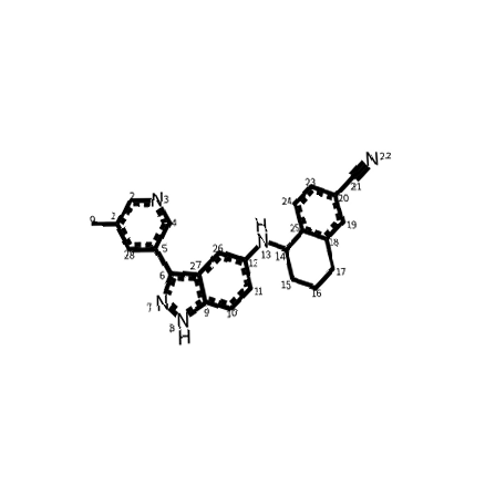 Cc1cncc(-c2n[nH]c3ccc(NC4CCCc5cc(C#N)ccc54)cc23)c1